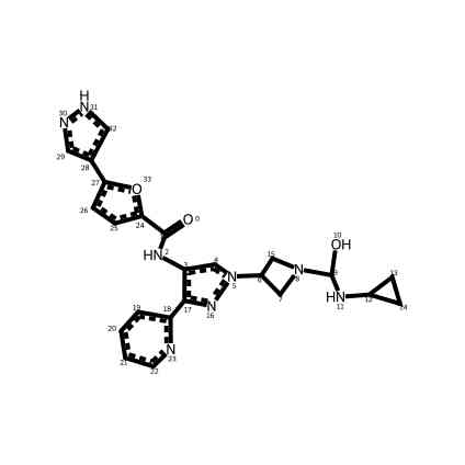 O=C(Nc1cn(C2CN(C(O)NC3CC3)C2)nc1-c1ccccn1)c1ccc(-c2cn[nH]c2)o1